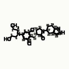 CCCN(CCO)c1cc(Cl)c(C[C@@H]2CCN(C3CCc4n[nH]cc4C3)C2=O)c(Cl)c1